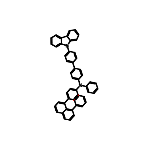 c1ccc(-c2cccc3cccc(-c4ccc(N(c5ccccc5)c5ccc(-c6ccc(-n7c8ccccc8c8ccccc87)cc6)cc5)cc4)c23)cc1